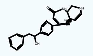 O=C1C=CC2=C(c3ccc(C(O)Cc4ccccc4)cc3)N=CC23C=CNCC3N1